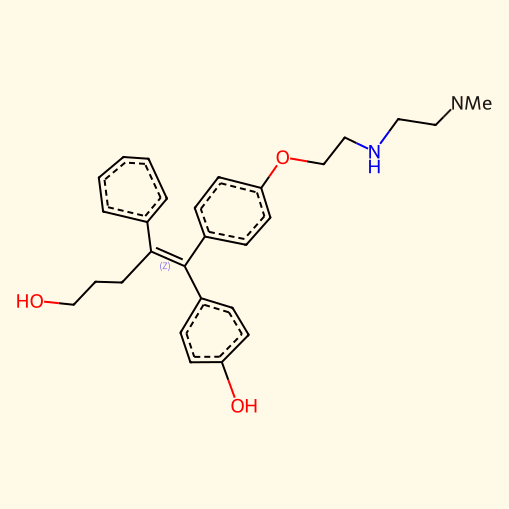 CNCCNCCOc1ccc(/C(=C(/CCCO)c2ccccc2)c2ccc(O)cc2)cc1